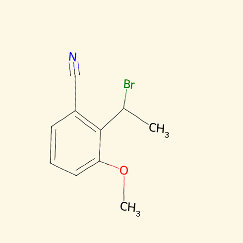 COc1cccc(C#N)c1C(C)Br